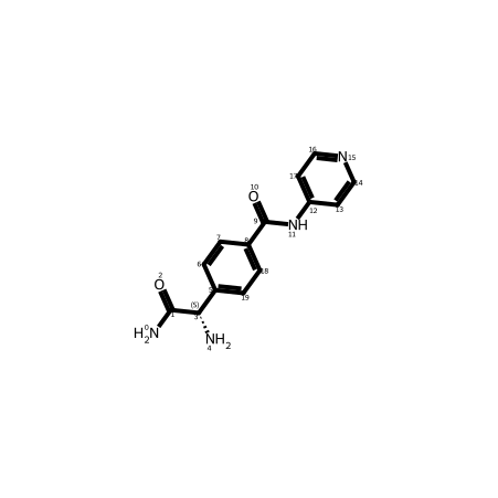 NC(=O)[C@@H](N)c1ccc(C(=O)Nc2ccncc2)cc1